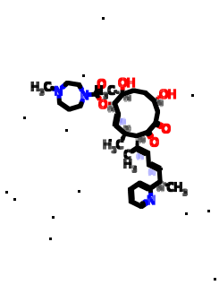 C/C(=C\C=C\[C@H](C)c1ccccn1)[C@H]1C(=O)C(=O)C[C@@H](O)CC[C@](C)(O)[C@@H](OC(=O)N2CCCN(C)CC2)/C=C/[C@@H]1C